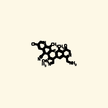 Cc1cc(-c2cnn(C)c2-c2c(F)c(C)c3ncc(Cl)cc3c2C#N)cc2c1C(=O)CN=C2CN